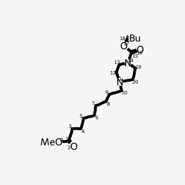 COC(=O)CCCCCCCCN1CCN(C(=O)OC(C)(C)C)CC1